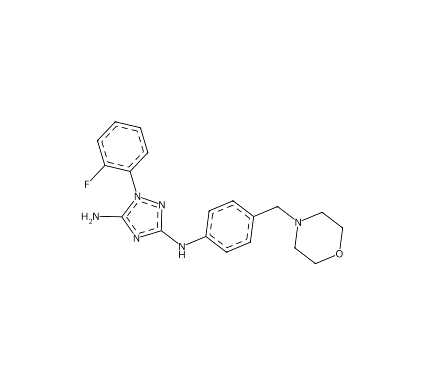 Nc1nc(Nc2ccc(CN3CCOCC3)cc2)nn1-c1ccccc1F